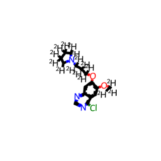 [2H]C1N(C([2H])([2H])C([2H])([2H])C([2H])([2H])Oc2cc3ncnc(Cl)c3cc2OC([2H])([2H])[2H])C([2H])([2H])C([2H])([2H])C1([2H])[2H]